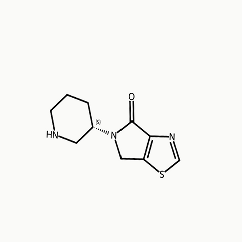 O=C1c2ncsc2CN1[C@H]1CCCNC1